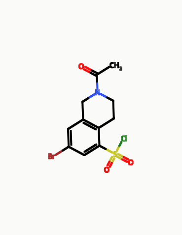 CC(=O)N1CCc2c(cc(Br)cc2S(=O)(=O)Cl)C1